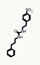 O=C(NCCCc1ccccc1)NCCc1ccc([N+](=O)[O-])cc1